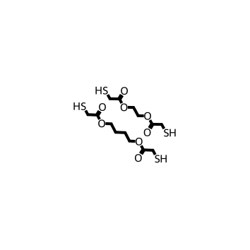 O=C(CS)OCCCCOC(=O)CS.O=C(CS)OCCOC(=O)CS